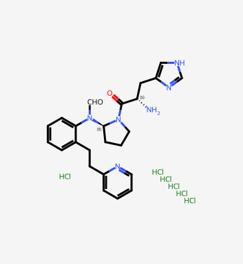 Cl.Cl.Cl.Cl.Cl.Cl.N[C@@H](Cc1c[nH]cn1)C(=O)N1CCC[C@H]1N(C=O)c1ccccc1CCc1ccccn1